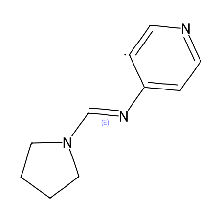 [c]1cnccc1/N=C/N1CCCC1